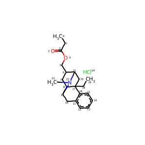 CCC(=O)OCC1CC2C3Cc4ccccc4C2(CC)CC1N3C.Cl